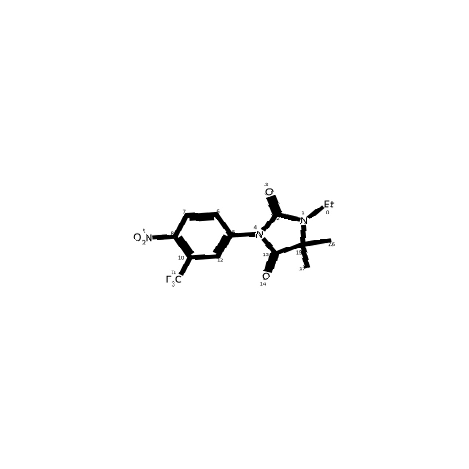 CCN1C(=O)N(c2ccc([N+](=O)[O-])c(C(F)(F)F)c2)C(=O)C1(C)C